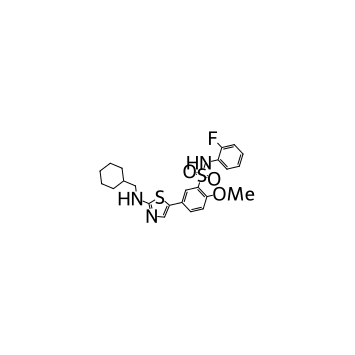 COc1ccc(-c2cnc(NCC3CCCCC3)s2)cc1S(=O)(=O)Nc1ccccc1F